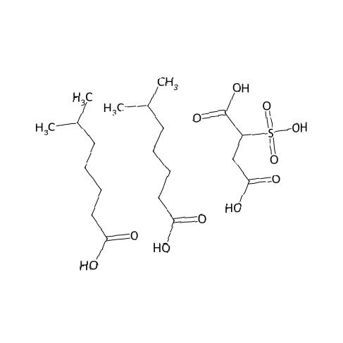 CC(C)CCCCC(=O)O.CC(C)CCCCC(=O)O.O=C(O)CC(C(=O)O)S(=O)(=O)O